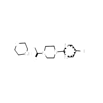 O=C(C[C@H]1COCCN1)N1CCN(c2ncc(C(F)(F)F)cn2)CC1